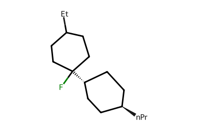 CCC[C@H]1CC[C@H](C2(F)CCC(CC)CC2)CC1